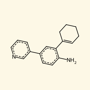 Nc1ccc(-c2cccnc2)cc1C1=CCCCC1